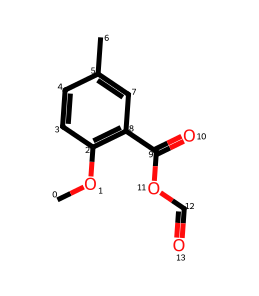 COc1ccc(C)cc1C(=O)OC=O